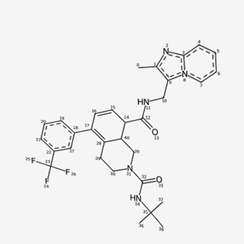 Cc1nc2ccccn2c1CNC(=O)C1C=CC(c2cccc(C(F)(F)F)c2)=C2CCN(C(=O)NC(C)(C)C)CC21